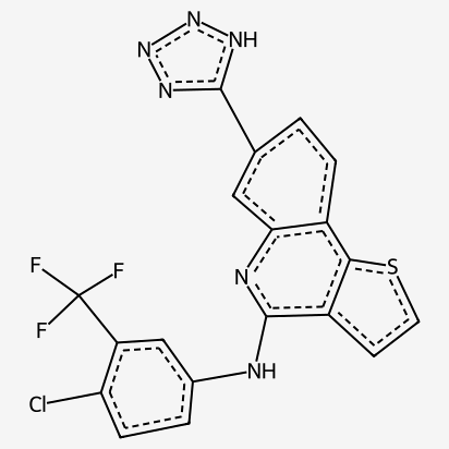 FC(F)(F)c1cc(Nc2nc3cc(-c4nnn[nH]4)ccc3c3sccc23)ccc1Cl